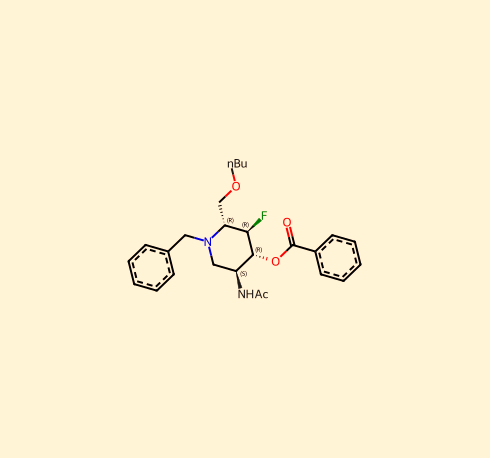 CCCCOC[C@@H]1[C@@H](F)[C@H](OC(=O)c2ccccc2)[C@@H](NC(C)=O)CN1Cc1ccccc1